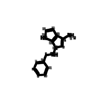 Nc1cn(NCc2ccccc2)c2[nH]ccc12